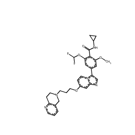 COc1cc(-c2cnc3cc(OCCCN4CCc5ncccc5C4)ccn23)cc(OC(F)F)c1C(=O)NC1CC1